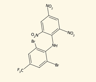 O=[N+]([O-])c1cc([N+](=O)[O-])c(Nc2c(Br)cc(C(F)(F)F)cc2Br)c([N+](=O)[O-])c1